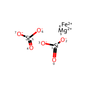 O=[Si]([O-])[O-].O=[Si]([O-])[O-].[Fe+2].[Mg+2]